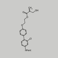 C=C(CO)C(=O)OCCOc1ccc(-c2ccc(CCCCC)cc2Cl)cc1